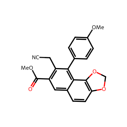 COC(=O)c1cc2ccc3c(c2c(-c2ccc(OC)cc2)c1CC#N)OCO3